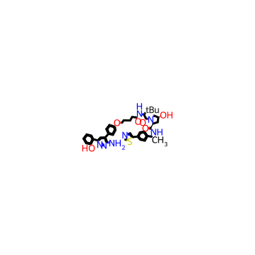 CC(NC(=O)[C@@H]1C[C@@H](O)CN1C(=O)C(NC(=O)CCCCOc1ccc(-c2cc(-c3ccccc3O)nnc2N)cc1)C(C)(C)C)c1ccc(-c2cncs2)cc1